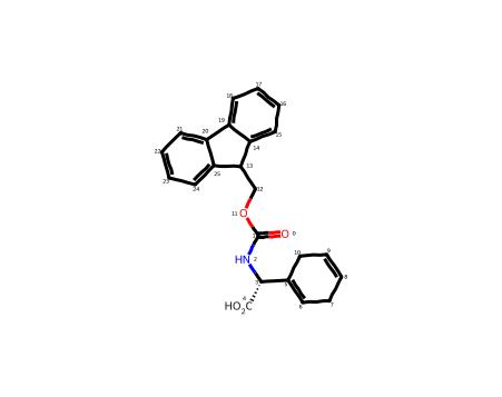 O=C(N[C@@H](C(=O)O)C1=CCC=CC1)OCC1c2ccccc2-c2ccccc21